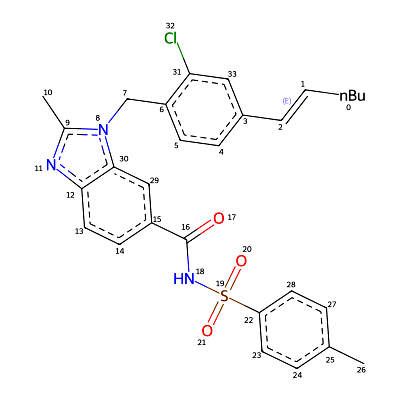 CCCC/C=C/c1ccc(Cn2c(C)nc3ccc(C(=O)NS(=O)(=O)c4ccc(C)cc4)cc32)c(Cl)c1